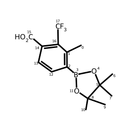 Cc1c(B2OC(C)(C)C(C)(C)O2)ccc(C(=O)O)c1C(F)(F)F